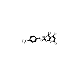 CCc1cc(=O)oc2nc(OCc3ccc(C(F)(F)F)cc3)[nH]c(=O)c12